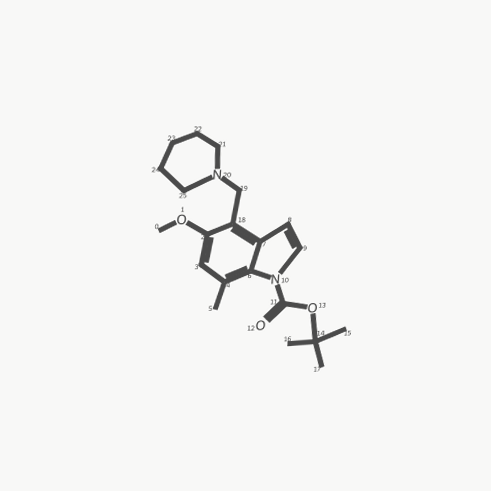 COc1cc(C)c2c(ccn2C(=O)OC(C)(C)C)c1CN1CCCCC1